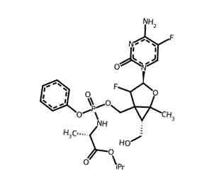 CC(C)OC(=O)[C@H](C)NP(=O)(OCC12C(F)[C@@H](n3cc(F)c(N)nc3=O)OC1(C)[C@@H]2CO)Oc1ccccc1